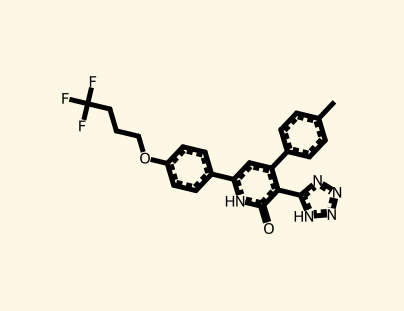 Cc1ccc(-c2cc(-c3ccc(OCCCC(F)(F)F)cc3)[nH]c(=O)c2-c2nnn[nH]2)cc1